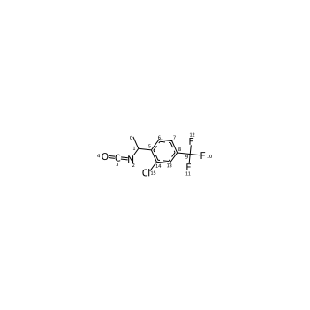 CC(N=C=O)c1ccc(C(F)(F)F)cc1Cl